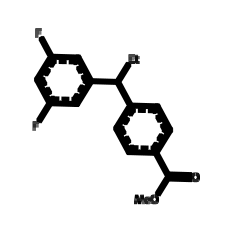 CC[C](c1ccc(C(=O)OC)cc1)c1cc(F)cc(F)c1